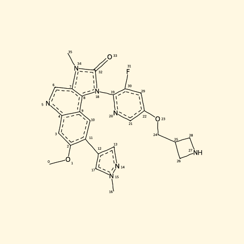 COc1cc2ncc3c(c2cc1-c1cnn(C)c1)n(-c1ncc(OCC2CNC2)cc1F)c(=O)n3C